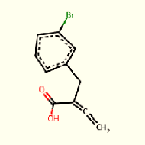 C=C=C(Cc1cccc(Br)c1)C(=O)O